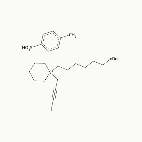 CCCCCCCCCCCCCCCC[N+]1(CC#CI)CCCCC1.Cc1ccc(S(=O)(=O)O)cc1